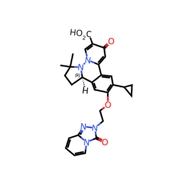 CC1(C)CC[C@@H]2c3cc(OCCn4nc5ccccn5c4=O)c(C4CC4)cc3-c3cc(=O)c(C(=O)O)cn3N21